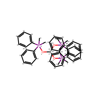 CP(C)(OB(OP(C)(C)(c1ccccc1)c1ccccc1)OP(C)(C)(c1ccccc1)c1ccccc1)(c1ccccc1)c1ccccc1